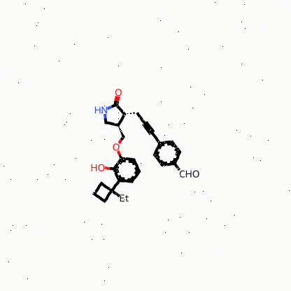 CCC1(c2cccc(OC[C@H]3CNC(=O)[C@@H]3CC#Cc3ccc(C=O)cc3)c2O)CCC1